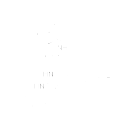 C[C@@](NC(=O)c1cc(-c2ccc(F)cc2)sc1NC(=O)Nc1c(Cl)cccc1Cl)(C(=O)O)C1CCCCC1